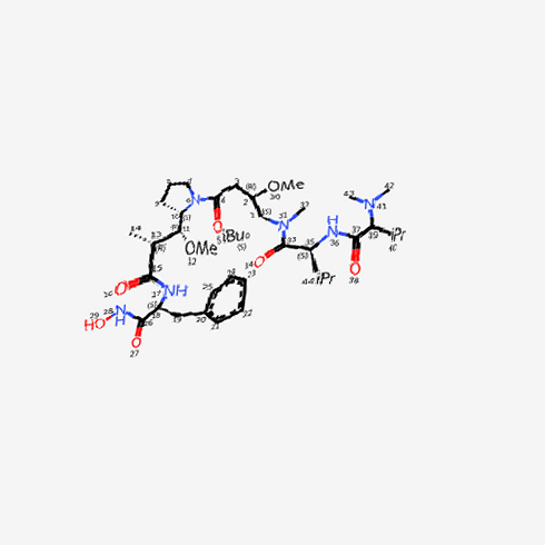 CC[C@H](C)[C@@H]([C@@H](CC(=O)N1CCC[C@H]1[C@H](OC)[C@@H](C)C(=O)N[C@@H](Cc1ccccc1)C(=O)NO)OC)N(C)C(=O)[C@@H](NC(=O)C(C(C)C)N(C)C)C(C)C